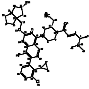 C[C@H](/C=C/C(=O)N1CCN(c2nc(OC[C@@]34CCCN3C[C@H](F)C4)nc3c(F)c(-c4cccc(Cl)c4C4CC4)ncc23)C[C@@H]1CC#N)N(C)C